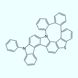 c1ccc(-n2c3ccccc3c3c4c5ccc6sc7cccc8c9ccccc9c9ccccc9n(c4ccc32)c5c6c78)cc1